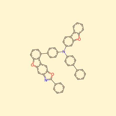 c1ccc(-c2ccc(N(c3ccc(-c4cccc5oc6cc7nc(-c8ccccc8)oc7cc6c45)cc3)c3ccc4c(c3)oc3ccccc34)cc2)cc1